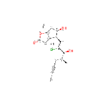 CCC#CC[C@H](C)[C@H](O)C(Br)=C[C@H]1[C@H]2CC(=O)O[C@H]2C[C@H]1O